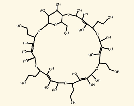 OCCC1OC2OC(CO)C(OC(O)/C(O)=C(\O)C(CCO)OC(O)/C(O)=C(\O)C(CCO)OC(O)/C(O)=C(\O)C(CCO)OC(O)/C(O)=C(\O)C(CCO)OC(O)/C(O)=C\1O)C(O)C2O